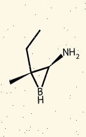 CC[C@@]1(C)B[C@@H]1N